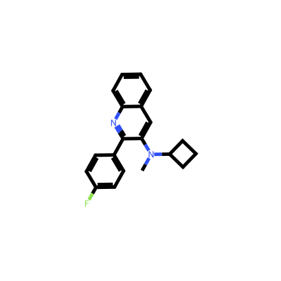 CN(c1cc2ccccc2nc1-c1ccc(F)cc1)C1CCC1